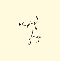 CCC(C=CS)C=CC(CC)SC